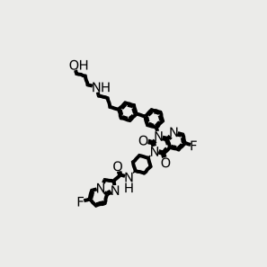 O=C(N[C@H]1CC[C@@H](n2c(=O)c3cc(F)cnc3n(-c3cccc(-c4ccc(CCCNCCCO)cc4)c3)c2=O)CC1)C1CN2C=C(F)C=CC2=N1